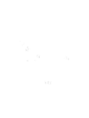 CCCc1ccc(-c2cccc3c2C2=C(C)[CH]3[Zr+2][CH]3C(C)=C(c4c(-c5ccc(CCC)cc5)cccc43)[Si]2(C)C)cc1.[Cl-].[Cl-]